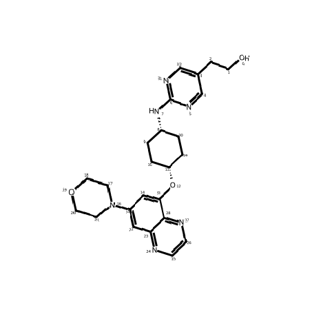 OCCc1cnc(N[C@H]2CC[C@@H](Oc3cc(N4CCOCC4)cc4nccnc34)CC2)nc1